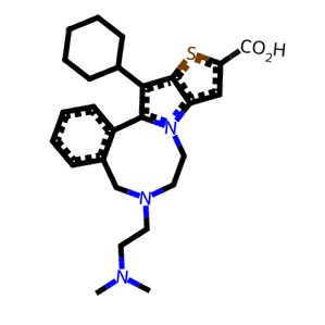 CN(C)CCN1CCn2c(c(C3CCCCC3)c3sc(C(=O)O)cc32)-c2ccccc2C1